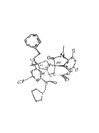 CN1C(=O)[C@]2(c3cc(Cl)cc(Cl)c31)[C@H](C(=O)O)[C@H](C(=O)N(CC1CCCC1)c1cc(Cl)cc(Cl)c1)[C@H]1C[C@](C)(OCc3ccccc3)CN12